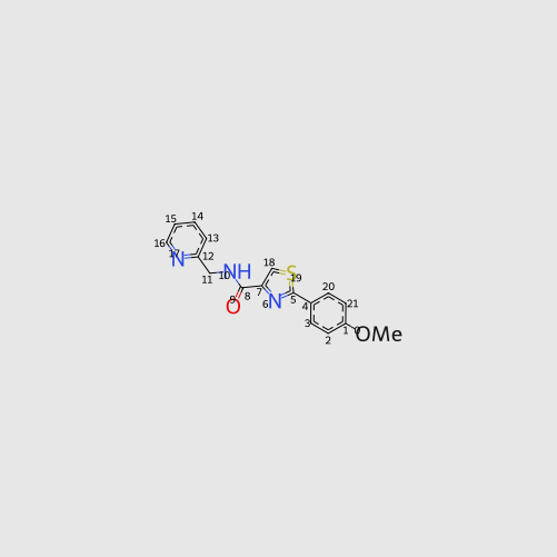 COc1ccc(-c2nc(C(=O)NCc3ccccn3)cs2)cc1